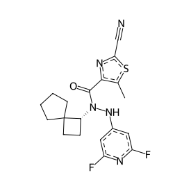 Cc1sc(C#N)nc1C(=O)N(Nc1cc(F)nc(F)c1)[C@@H]1CCC12CCCC2